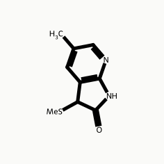 CSC1C(=O)Nc2ncc(C)cc21